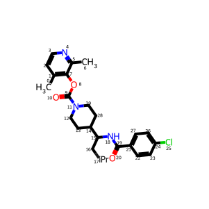 Cc1ccnc(C)c1OC(=O)N1CCC(C(CC(C)C)NC(=O)c2ccc(Cl)cc2)CC1